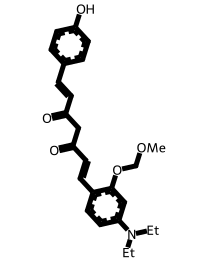 CCN(CC)c1ccc(C=CC(=O)CC(=O)C=Cc2ccc(O)cc2)c(OCOC)c1